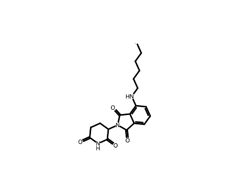 [CH2]CCCCCNc1cccc2c1C(=O)N(C1CCC(=O)NC1=O)C2=O